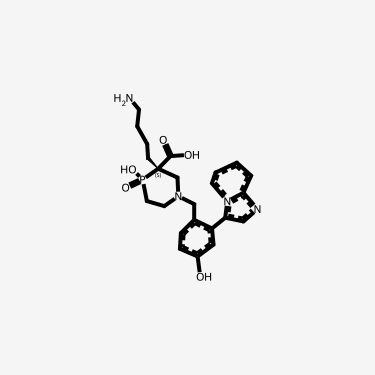 NCCCC[C@@]1(C(=O)O)CN(Cc2ccc(O)cc2-c2cnc3ccccn23)CCP1(=O)O